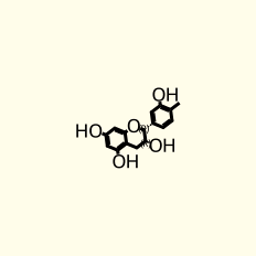 Cc1ccc([C@H]2Oc3cc(O)cc(O)c3C[C@H]2O)cc1O